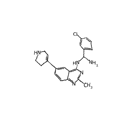 Cc1nc(NC(N)c2cccc(Cl)c2)c2cc(C3=CCNCC3)ccc2n1